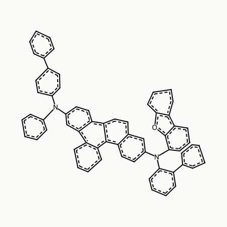 c1ccc(-c2ccc(N(c3ccccc3)c3ccc4c(c3)c3ccccc3c3c5ccc(N(c6ccccc6-c6ccccc6)c6cccc7c6oc6ccccc67)cc5ccc43)cc2)cc1